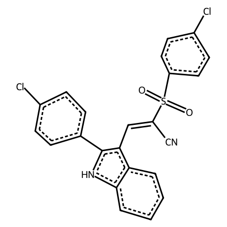 N#C/C(=C\c1c(-c2ccc(Cl)cc2)[nH]c2ccccc12)S(=O)(=O)c1ccc(Cl)cc1